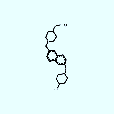 CCCCC1CCC(Oc2ccc3cc(CN4CCC(OC(=O)O)CC4)ccc3c2)CC1